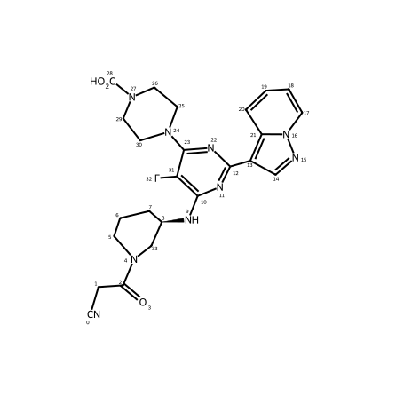 N#CCC(=O)N1CCC[C@@H](Nc2nc(-c3cnn4ccccc34)nc(N3CCN(C(=O)O)CC3)c2F)C1